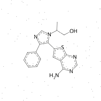 CC(CO)n1cnc(-c2ccccc2)c1-c1cc2c(N)ncnc2s1